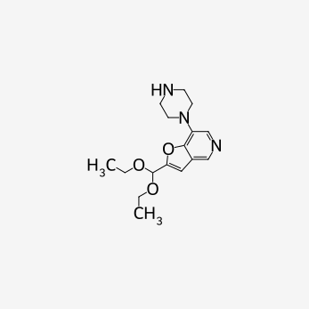 CCOC(OCC)c1cc2cncc(N3CCNCC3)c2o1